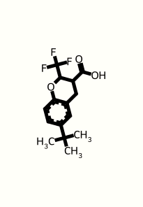 CC(C)(C)c1ccc2c(c1)CC(C(=O)O)C(C(F)(F)F)O2